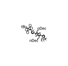 CCCCCCCCCCCCc1c(-c2ccc(C3=C4C(=O)OC(C(C)(C)C)=C4C(=O)O3)s2)sc2c(CCCCCCCCCCCC)c(-c3ccc(C(C)(C)CC)s3)sc12